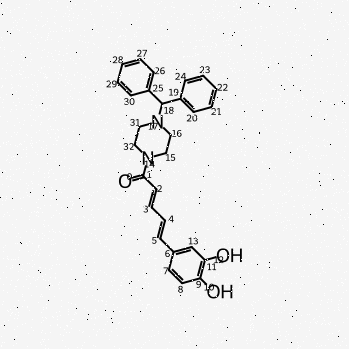 O=C(C=CC=Cc1ccc(O)c(O)c1)N1CCN(C(c2ccccc2)c2ccccc2)CC1